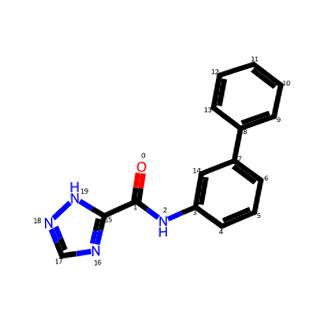 O=C(Nc1cccc(-c2ccccc2)c1)c1ncn[nH]1